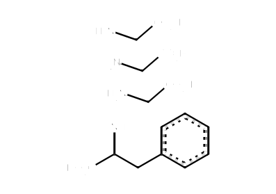 NC(Cc1ccccc1)C(=O)O.NCC(=O)O.NCC(=O)O.NCC(=O)O